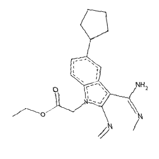 C=Nc1c(/C(N)=N\C)c2cc(C3CCCC3)ccc2n1CC(=O)OCC